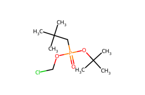 CC(C)(C)CP(=O)(OCCl)OC(C)(C)C